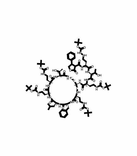 CC(C)C[C@@H]1NC(=O)[C@@H](Cc2ccccc2)NC(=O)[C@H](CCNC(=O)OC(C)(C)C)NC[C@@H](NC(=O)[C@H](CCNC(=O)OC(C)(C)C)NC(=O)[C@@H](NC(=O)[C@H](CCNNC(=O)OC(C)(C)C)NC(=O)C2C(=O)OCC2c2ccccc2)C(C)O)CCNC(=O)[C@H]([C@H](C)O)NC(=O)[C@H](CCNC(=O)OC(C)(C)C)NC(=O)[C@H](CCNC(=O)OC(C)(C)C)NC1=O